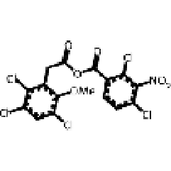 COc1c(Cl)cc(Cl)c(Cl)c1CC(=O)OC(=O)c1ccc(Cl)c([N+](=O)[O-])c1Cl